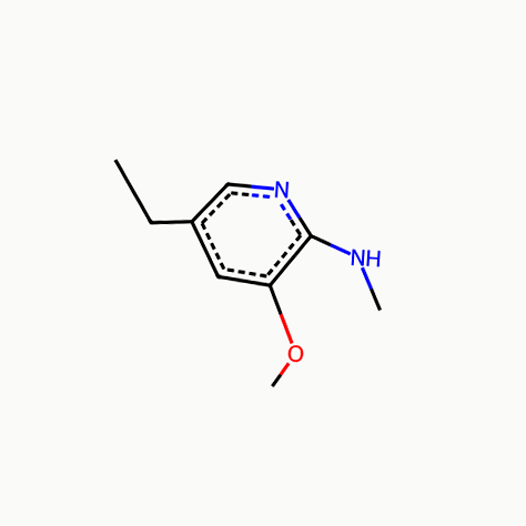 CCc1cnc(NC)c(OC)c1